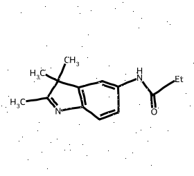 CCC(=O)Nc1ccc2c(c1)C(C)(C)C(C)=N2